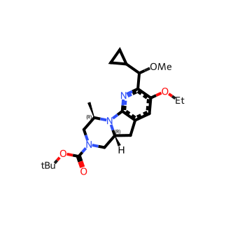 CCOc1cc2c(nc1C(OC)C1CC1)N1[C@H](C2)CN(C(=O)OC(C)(C)C)C[C@H]1C